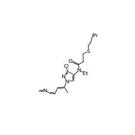 C=N/C=C\C=C(/C)n1cc(N(CC)C(=O)CCSCCC(C)C)c(Cl)n1